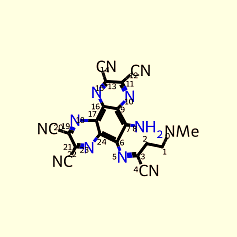 CNCC/C(C#N)=N\c1c(N)c2nc(C#N)c(C#N)nc2c2nc(C#N)c(C#N)nc12